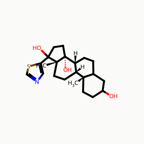 C[C@]12CCC(O)CC1CC[C@@H]1[C@H]2CC[C@]2(C)C(O)(c3cncs3)CC[C@@]12O